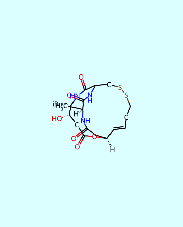 CCC(C)[C@@H]1NC(=O)C2CSSCC/C=C/[C@H](CC(=O)N[C@@H](C)C(=O)N2)OC(=O)C[C@@H]1O